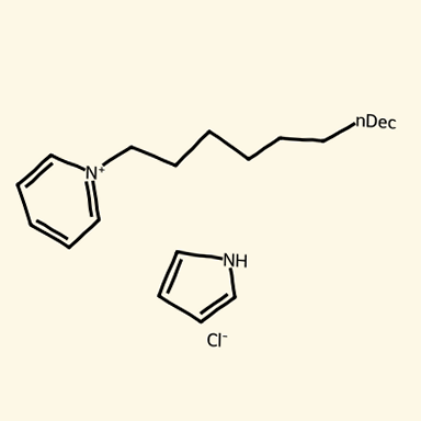 CCCCCCCCCCCCCCCC[n+]1ccccc1.[Cl-].c1cc[nH]c1